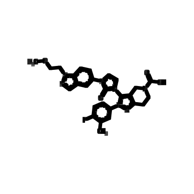 COCCn1ncc2cc(-n3ccn(-c4c5c(nn4-c4ccc(F)c(C)c4)CCN(C(=O)O)C5)c3=O)ccc21